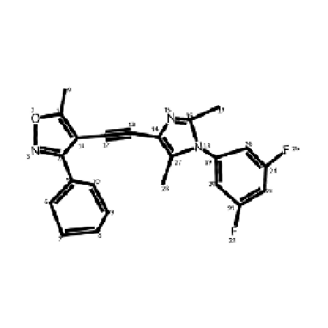 Cc1onc(-c2ccccc2)c1C#Cc1nc(C)n(-c2cc(F)cc(F)c2)c1C